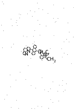 C=Cc1c(/C=C\C)oc2c(-c3cccc(-c4c5ccccc5c(-c5ccc6ccc7cccnc7c6n5)c5ccccc45)c3)cccc12